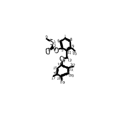 CSC(=O)Oc1cccc(C)c1COc1cc(C)c(C)cc1C